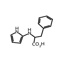 O=C(O)C(Cc1ccccc1)Nc1ccc[nH]1